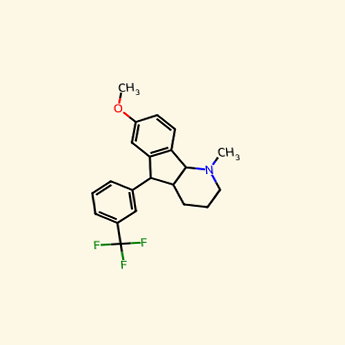 COc1ccc2c(c1)C(c1cccc(C(F)(F)F)c1)C1CCCN(C)C21